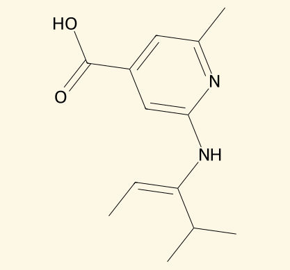 CC=C(Nc1cc(C(=O)O)cc(C)n1)C(C)C